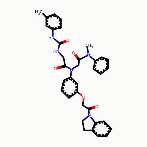 Cc1cccc(NC(=O)NCC(=O)N(CC(=O)N(C)c2ccccc2)c2cccc(OCC(=O)N3CCc4ccccc43)c2)c1